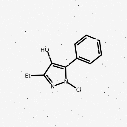 CCc1nn(Cl)c(-c2ccccc2)c1O